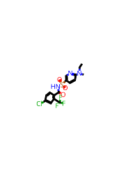 CCN(C)c1ccc(S(=O)(=O)NC(=O)c2ccc(Cl)cc2C(F)(F)F)cn1